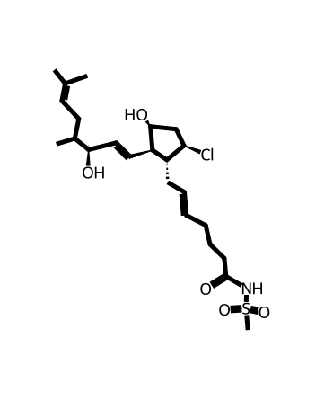 CC(C)=CCC(C)[C@H](O)C=C[C@@H]1[C@@H](CC=CCCCC(=O)NS(C)(=O)=O)[C@H](Cl)C[C@H]1O